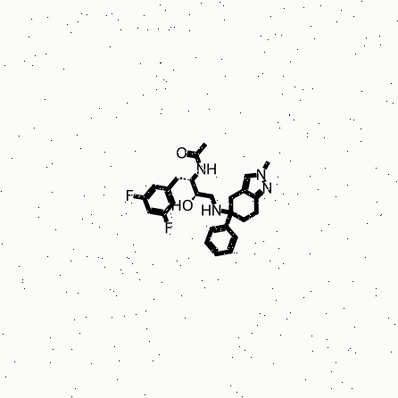 CC(=O)N[C@@H](Cc1cc(F)cc(F)c1)[C@@H](O)CNC1(c2ccccc2)CCc2nn(C)cc2C1